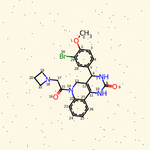 COc1ccc(C2NC(=O)NC3=C2CN(C(=O)CN2CCC2)c2ccccc23)cc1Br